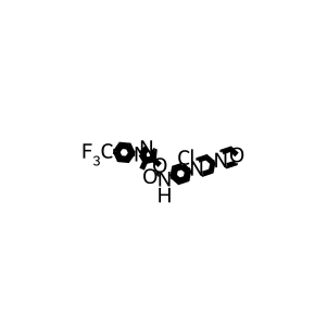 Cc1c(OC(=O)Nc2ccc(N3CCC(N4CCOCC4)CC3)c(Cl)c2)cnn1-c1ccc(C(F)(F)F)cc1